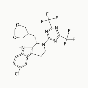 FC(F)(F)c1nc(N2CCc3c([nH]c4ccc(Cl)cc34)[C@@H]2CC2COCOC2)nc(C(F)(F)F)n1